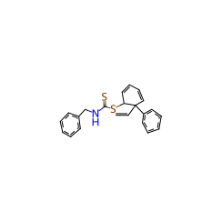 C=CC1(c2ccccc2)C=CC=CC1SC(=S)NCc1ccccc1